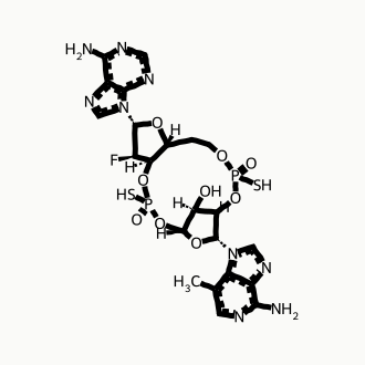 Cc1cnc(N)c2ncn([C@@H]3O[C@@H]4OP(=O)(S)O[C@H]5[C@@H](F)[C@H](n6cnc7c(N)ncnc76)O[C@@H]5CCOP(=O)(S)O[C@@H]3[C@@H]4O)c12